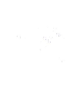 NS(=O)(=O)c1ccccc1-n1nc(-c2ccc(Cl)cc2)c(F)c1-c1ccc(Cl)cc1